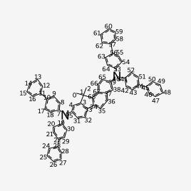 CC1(C)c2cc(N(c3ccc(-c4ccccc4)cc3)c3ccc(-c4ccccc4)cc3)ccc2-c2ccc3cc(N(c4ccc(-c5ccccc5)cc4)c4ccc(-c5ccccc5)cc4)ccc3c21